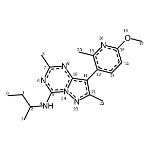 CCC(C)Nc1nc(C)nc2c(-c3ccc(OC)nc3C)c(C)nn12